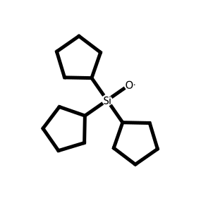 [O][Si](C1CCCC1)(C1CCCC1)C1CCCC1